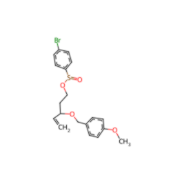 C=CC(CCOS(=O)c1ccc(Br)cc1)OCc1ccc(OC)cc1